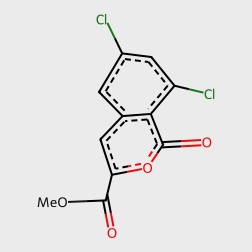 COC(=O)c1cc2cc(Cl)cc(Cl)c2c(=O)o1